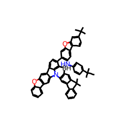 CC(C)(C)c1ccc(Nc2cc3c(cc2-c2ccc4c5cc6oc7ccccc7c6cc5n5c4c2Bc2cc4c(cc2-5)-c2ccccc2C4(C)C)oc2cc(C(C)(C)C)ccc23)cc1